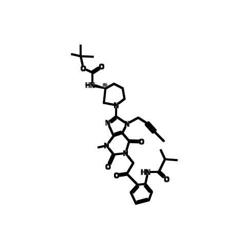 CC#CCn1c(N2CCC[C@H](NC(=O)OC(C)(C)C)C2)nc2c1c(=O)n(CC(=O)c1ccccc1NC(=O)C(C)C)c(=O)n2C